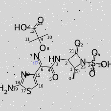 C[C@H]1C(NC(=O)/C(=N\OC(C)(C)C(=O)O)c2csc(N)n2)C(=O)N1S(=O)(=O)O